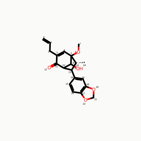 C=CCC1=CC2(OC)C(O)C(C1=O)C(c1ccc3c(c1)OCO3)[C@H]2C